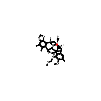 COCOc1c(OC)c(C)cc2c1[C@@H]1C3[C@@H]4SCC(C)C(=O)OC[C@@H](c5c6c(c(C)c(C)c54)OCO6)N3[C@@H](C#N)[C@H](C2)N1C